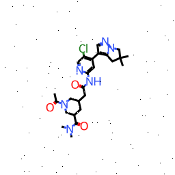 CC(=O)N1CC(CC(=O)Nc2cc(-c3cnn4c3CC(C)(C)C4)c(Cl)cn2)CC(C(=O)N(C)C)C1